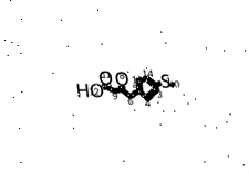 CSc1ccc(CC(=O)CC(=O)O)cc1